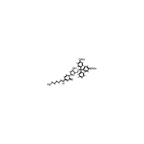 COc1ccc(C(OC[C@H]2O[C@@H](n3ccc(NCCCCCO)nc3=O)C[C@@H]2O)(c2ccccc2)c2ccc(OC)cc2)cc1